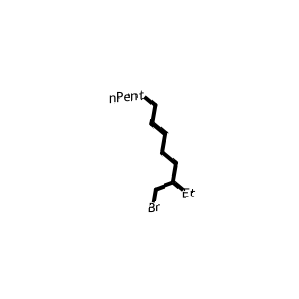 CCCCCCCCCCC(CC)CBr